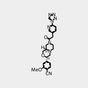 COc1cc([C@H]2CN3CCN(C(=O)Cc4ccc(-n5cnnn5)nc4)C[C@H]3CO2)ccc1C#N